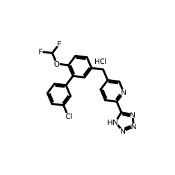 Cl.FC(F)Oc1ccc(Cc2ccc(-c3nnn[nH]3)nc2)cc1-c1cccc(Cl)c1